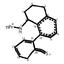 CCCNC1CCCc2cccc(C3=CC=CCC3=S)c21